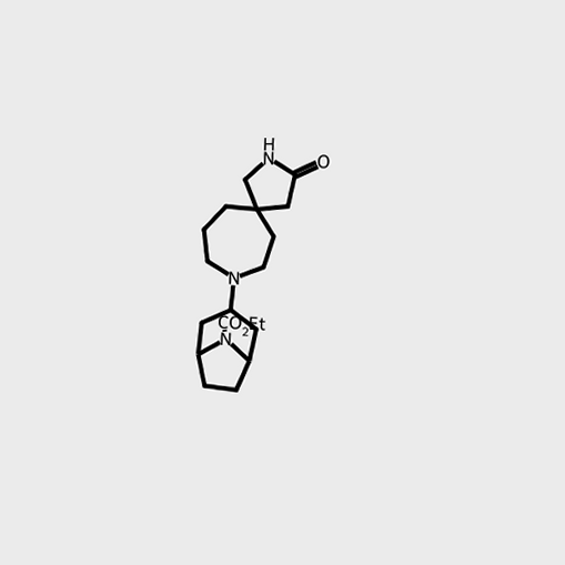 CCOC(=O)N1C2CCC1CC(N1CCCC3(CC1)CNC(=O)C3)C2